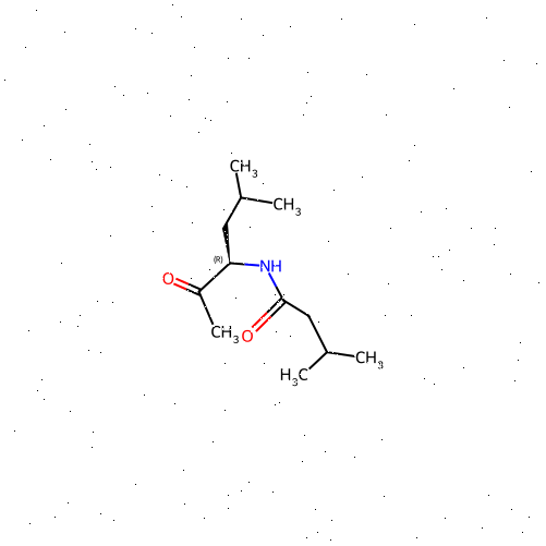 CC(=O)[C@@H](CC(C)C)NC(=O)CC(C)C